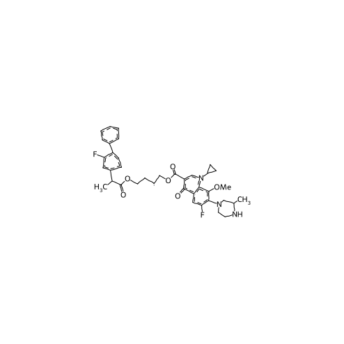 COc1c(N2CCNC(C)C2)c(F)cc2c(=O)c(C(=O)OC[CH]CCOC(=O)C(C)c3ccc(-c4ccccc4)c(F)c3)cn(C3CC3)c12